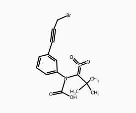 CC(C)(C)C(N(C(=O)O)c1cccc(C#CCBr)c1)=S(=O)=O